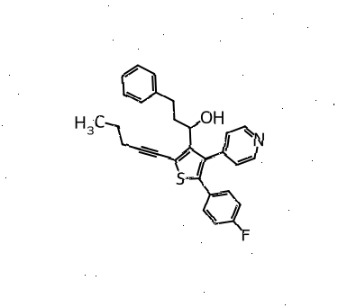 CCCC#Cc1sc(-c2ccc(F)cc2)c(-c2ccncc2)c1C(O)CCc1ccccc1